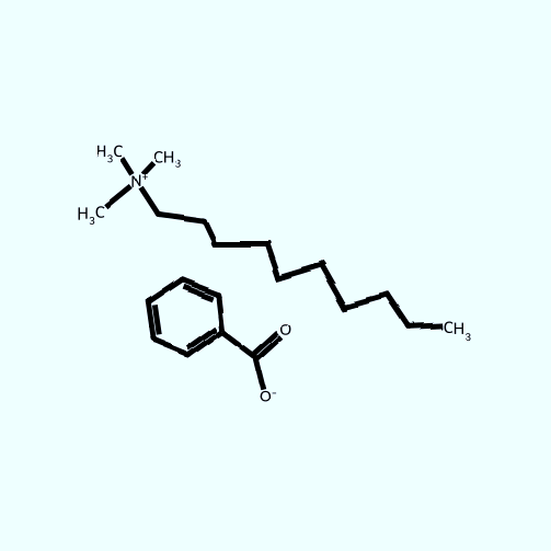 CCCCCCCCCC[N+](C)(C)C.O=C([O-])c1ccccc1